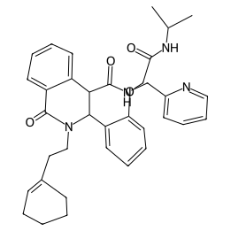 CC(C)NC(=O)COc1ccccc1C1C(C(=O)NCc2ccccn2)c2ccccc2C(=O)N1CCC1=CCCCC1